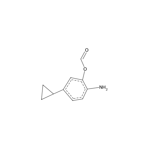 Nc1ccc(C2CC2)cc1OC=O